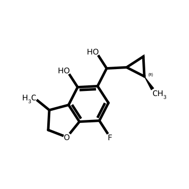 CC1COc2c(F)cc(C(O)C3C[C@H]3C)c(O)c21